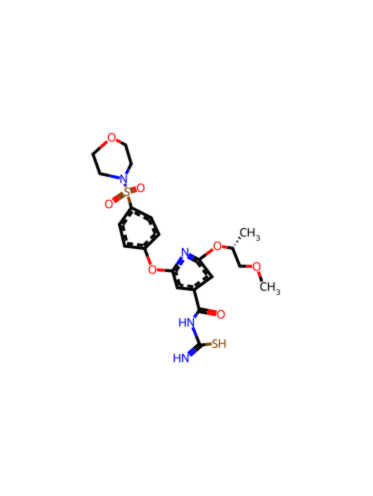 COC[C@@H](C)Oc1cc(C(=O)NC(=N)S)cc(Oc2ccc(S(=O)(=O)N3CCOCC3)cc2)n1